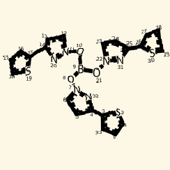 c1csc(-c2ccn(OB(On3ccc(-c4cccs4)n3)On3ccc(-c4cccs4)n3)n2)c1